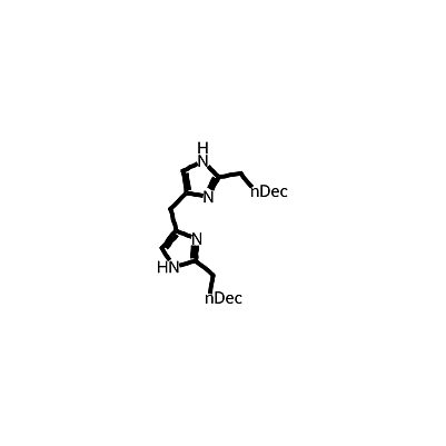 CCCCCCCCCCCc1nc(Cc2c[nH]c(CCCCCCCCCCC)n2)c[nH]1